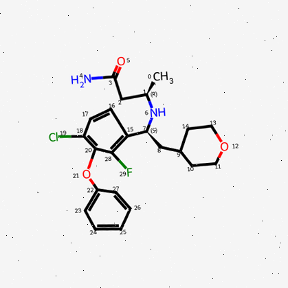 C[C@H](CC(N)=O)N[C@@H](CC1CCOCC1)c1ccc(Cl)c(Oc2ccccc2)c1F